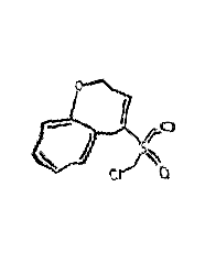 O=S(=O)(Cl)C1=CCOc2ccccc21